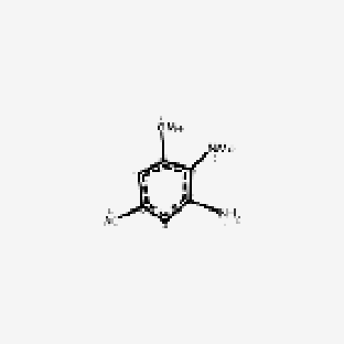 CNc1c(N)cc(C(C)=O)cc1OC